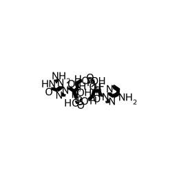 Nc1nc2c(ncn2[C@@H]2O[C@@H]3COP(=O)(O)O[C@H]4[C@@H](F)[C@H](n5cnc6c(N)ccnc65)O[C@@H]4COP(=O)(O)C[C@@H]2[C@@H]3O)c(=O)[nH]1